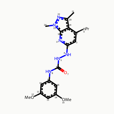 CCCc1cc(NNC(=O)Nc2cc(OC)cc(OC)c2)nc2c1c(C)nn2C